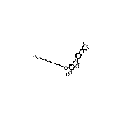 Br.CCCCCCCCCCCCCCOc1cc(CN(C(C)=O)c2ccc(CC3(C)C=C(C)C=NC3)cc2)ccc1Cl